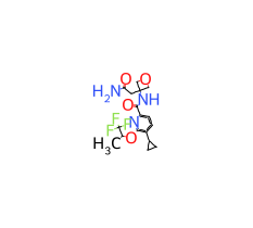 CC(Oc1nc(C(=O)NC2(CC(N)=O)COC2)ccc1C1CC1)C(F)(F)F